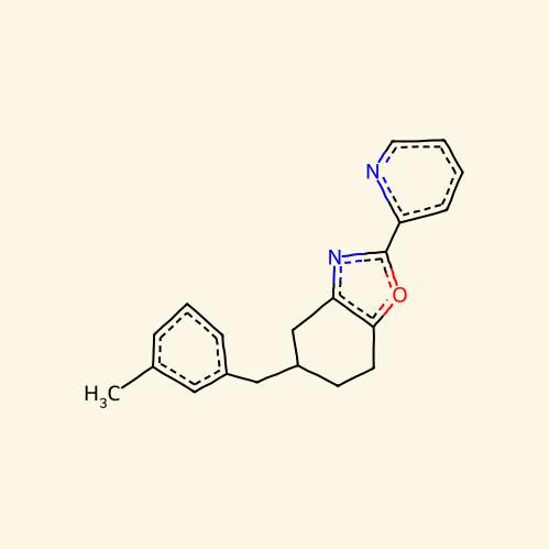 Cc1cccc(CC2CCc3oc(-c4ccccn4)nc3C2)c1